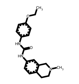 CCOc1ccc(NC(=O)Nc2ccc3c(c2)CN(C)CC3)cc1